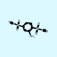 N#[N+]S(=O)(=O)c1ccc(S(=O)(=O)[N+]#N)c(N)c1